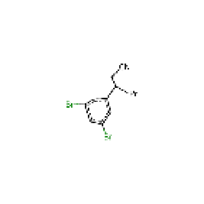 CC(C)C(CC#N)c1cc(Br)cc(Br)c1